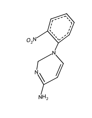 NC1=NCN(c2ccccc2[N+](=O)[O-])C=C1